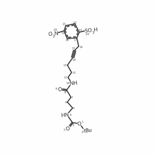 CC(C)(C)OC(=O)NCCCC(=O)NCCCC#CCc1cc([N+](=O)[O-])ccc1S(=O)(=O)O